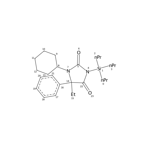 CCC[Si](CCC)(CCC)N1C(=O)N(C2CCCCC2)C(CC)(c2ccccc2)C1=O